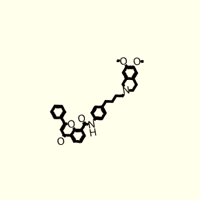 COc1cc2c(cc1OC)CN(CCCCc1ccc(NC(=O)c3cccc4c(=O)cc(-c5ccccc5)oc34)cc1)CC2